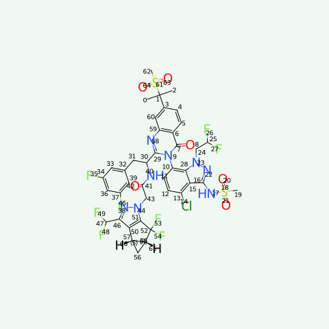 CC(C)(c1ccc2c(=O)n(-c3ccc(Cl)c4c(NS(C)(=O)=O)nn(CC(F)F)c34)c(C(Cc3cc(F)cc(F)c3)NC(=O)Cn3nc(C(F)F)c4c3C(F)(F)[C@@H]3C[C@H]43)nc2c1)S(C)(=O)=O